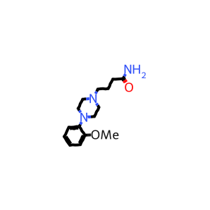 COc1ccccc1N1CCN(CCCC(N)=O)CC1